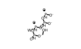 CO.O=[PH]([O-])O[PH](=O)[O-].O=[PH]([O-])O[PH](=O)[O-].[W+4]